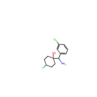 NC(c1cccc(Cl)c1)[C@]1(O)CC[C@@H](F)CC1